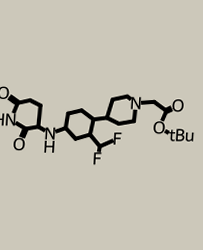 CC(C)(C)OC(=O)CN1CCC(C2CCC(NC3CCC(=O)NC3=O)CC2C(F)F)CC1